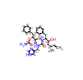 C=C[C@@H](C[C@H](O)[C@H](Cc1ccccc1)NC(=O)C(Cc1c[nH]cn1)NC(=O)[C@H](Cc1ccccc1)OC(N)=O)C(C)C